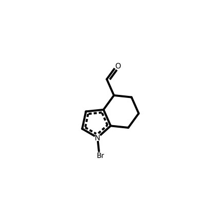 O=CC1CCCc2c1ccn2Br